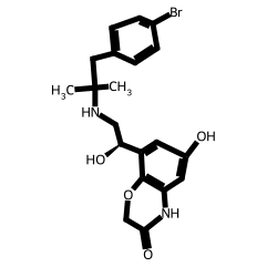 CC(C)(Cc1ccc(Br)cc1)NC[C@H](O)c1cc(O)cc2c1OCC(=O)N2